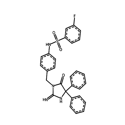 N=C1NC(c2ccccc2)(c2ccccc2)C(=O)N1Cc1ccc(NS(=O)(=O)c2cccc(F)c2)cc1